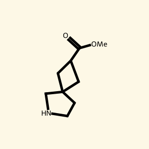 COC(=O)C1CC2(CCNC2)C1